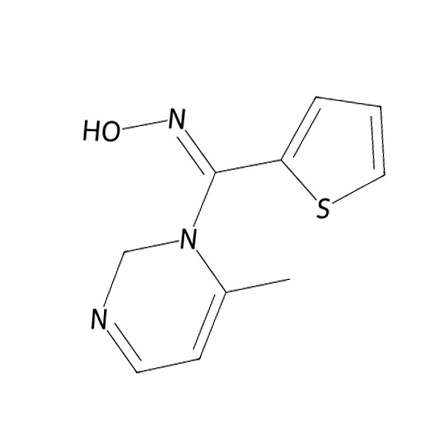 CC1=CC=NCN1/C(=N\O)c1cccs1